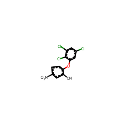 N#Cc1cc([N+](=O)[O-])ccc1Oc1cc(Cl)cc(Cl)c1Cl